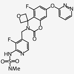 CNS(=O)(=O)Nc1nccc(CN2C(=O)Oc3cc(Oc4cccnn4)cc(F)c3C23COC3)c1F